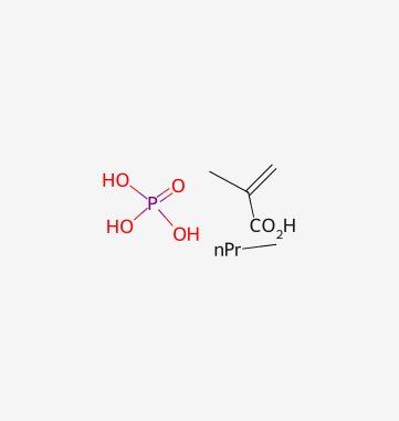 C=C(C)C(=O)O.CCCC.O=P(O)(O)O